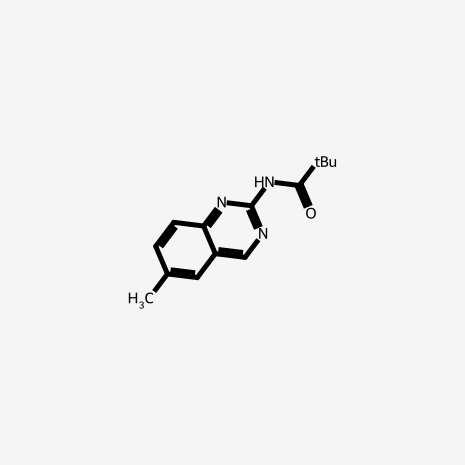 Cc1ccc2nc(NC(=O)C(C)(C)C)ncc2c1